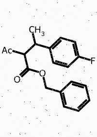 CC(=O)C(C(=O)OCc1ccccc1)C(C)c1ccc(F)cc1